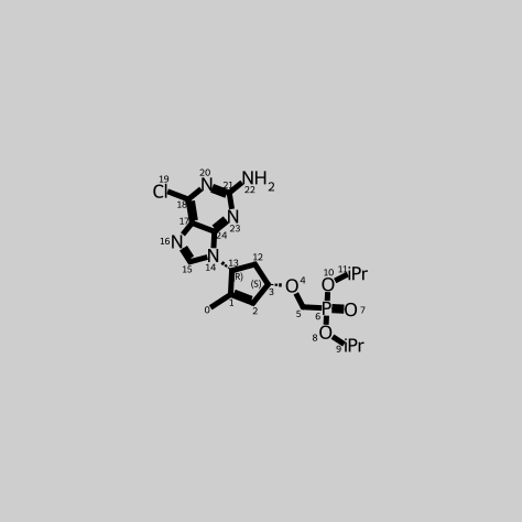 CC1=C[C@@H](OCP(=O)(OC(C)C)OC(C)C)C[C@H]1n1cnc2c(Cl)nc(N)nc21